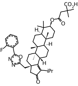 CC(C)C1=C2[C@H]3CC[C@@H]4[C@@]5(C)CC[C@H](OC(=O)CC(C)(C)C(=O)O)C(C)(C)[C@@H]5CC[C@@]4(C)[C@]3(C)CC[C@@]2(Cc2nnc(-c3ccccc3F)o2)CC1=O